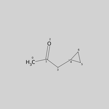 CC(=O)C[C]1CC1